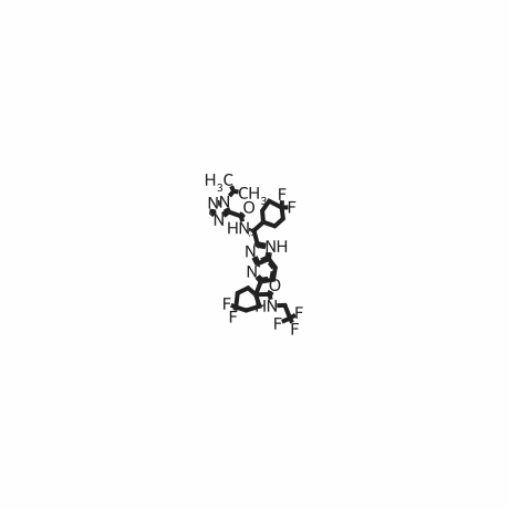 CC(C)n1ncnc1C(=O)N[C@H](c1nc2nc(C3(C(=O)NCC(F)(F)F)CCC(F)(F)CC3)ccc2[nH]1)C1CCC(F)(F)CC1